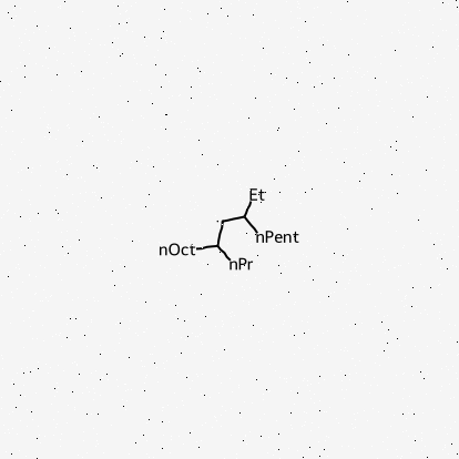 CCCCCCCCC([CH]C(CC)CCCCC)CCC